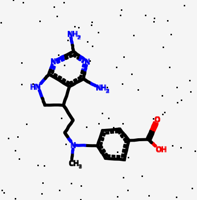 CN(CCC1CNc2nc(N)nc(N)c21)c1ccc(C(=O)O)cc1